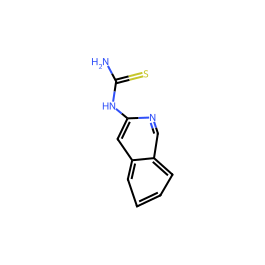 NC(=S)Nc1cc2ccccc2cn1